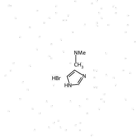 Br.CNC.c1c[nH]cn1